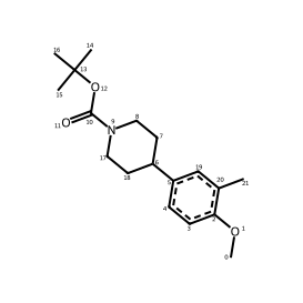 COc1ccc(C2CCN(C(=O)OC(C)(C)C)CC2)cc1C